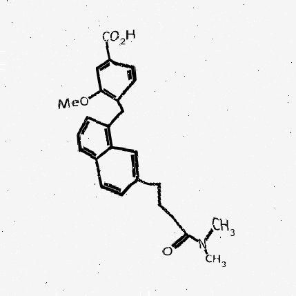 COc1cc(C(=O)O)ccc1Cc1cccc2ccc(CCCC(=O)N(C)C)cc12